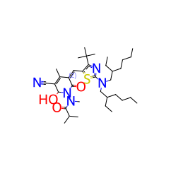 CCCCC(CC)CN(CC(CC)CCCC)c1nc(C(C)(C)C)c(/C=C2\C(=O)N(N(C)C(=O)C(C)C)C(O)C(C#N)=C2C)s1